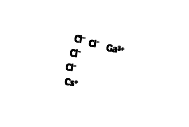 [Cl-].[Cl-].[Cl-].[Cl-].[Cs+].[Ga+3]